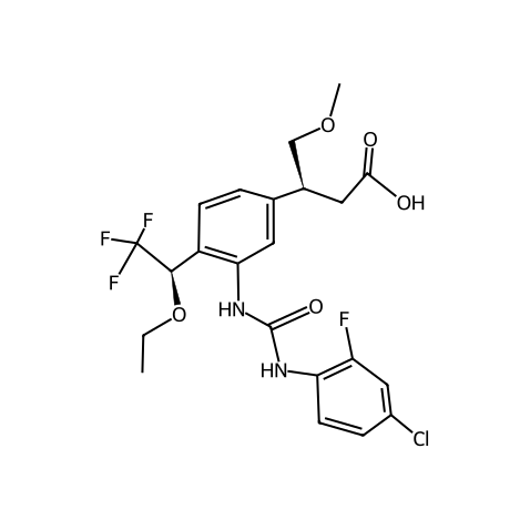 CCO[C@H](c1ccc([C@@H](COC)CC(=O)O)cc1NC(=O)Nc1ccc(Cl)cc1F)C(F)(F)F